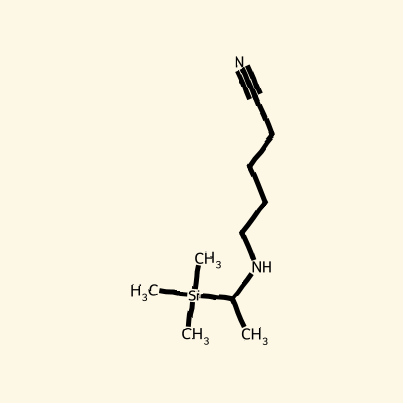 CC(NCCCCC#N)[Si](C)(C)C